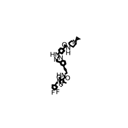 Cc1c(C(=O)NCC#Cc2ccc3nc(Nc4ccc(C(=O)NC5CCN(C6CC6)CC5)cc4)ncc3c2)c(=O)n(Cc2ccc(F)c(F)c2)n1C